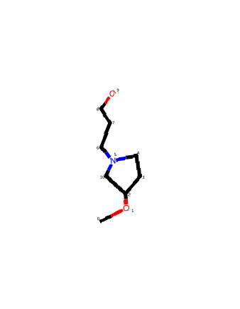 COC1CCN(CCC[O])C1